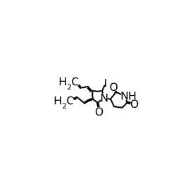 C=C/C=C1/C(=O)N(C2CCC(=O)NC2=O)C(I)/C1=C/C=C